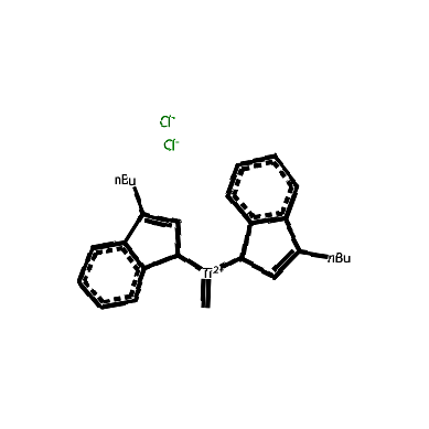 [CH2]=[Ti+2]([CH]1C=C(CCCC)c2ccccc21)[CH]1C=C(CCCC)c2ccccc21.[Cl-].[Cl-]